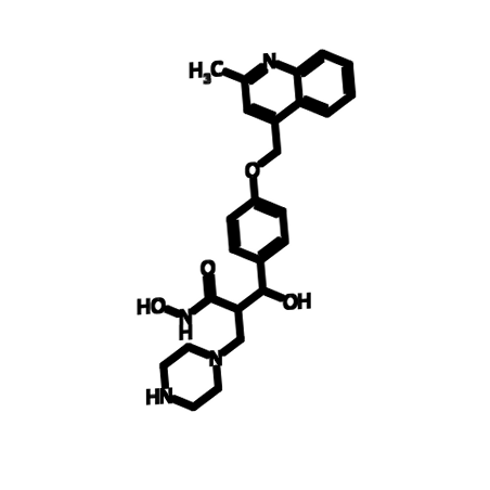 Cc1cc(COc2ccc(C(O)C(CN3CCNCC3)C(=O)NO)cc2)c2ccccc2n1